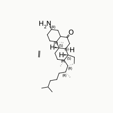 C=C.CC(C)CCC[C@@H](C)[C@H]1CC[C@H]2[C@@H]3CC(=O)C4C[C@H](N)CC[C@]4(C)[C@H]3CC[C@]12C